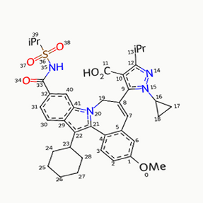 COc1ccc2c(c1)C=C(c1c(C(=O)O)c(C(C)C)nn1C1CC1)Cn1c-2c(C2CCCCC2)c2ccc(C(=O)NS(=O)(=O)C(C)C)cc21